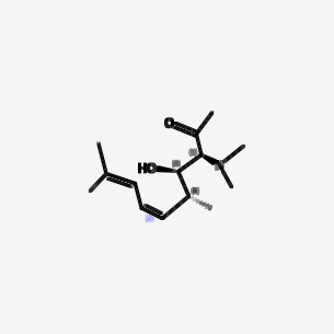 CC(=O)[C@H]([C@H](O)[C@H](C)/C=C\C=C(C)C)N(C)C